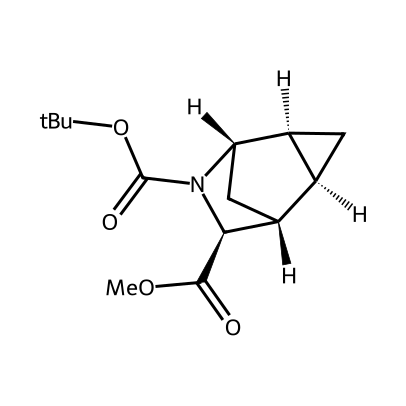 COC(=O)[C@@H]1[C@@H]2C[C@@H]([C@H]3C[C@@H]23)N1C(=O)OC(C)(C)C